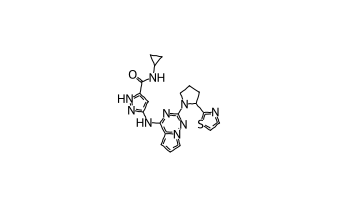 O=C(NC1CC1)c1cc(Nc2nc(N3CCCC3c3nccs3)nn3cccc23)n[nH]1